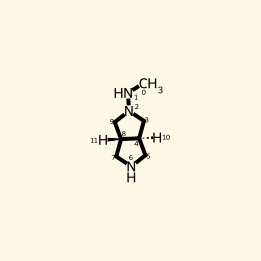 CNN1C[C@H]2CNC[C@@H]2C1